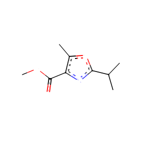 COC(=O)c1nc(C(C)C)oc1C